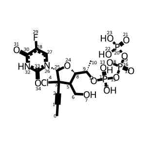 CC#CC1(Cl)C(CO)[C@@H]([C@H](C)OP(=O)(O)OP(=O)(O)OP(=O)(O)O)O[C@H]1n1cc(F)c(=O)[nH]c1=O